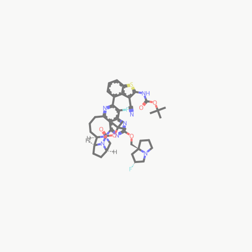 CC(C)(C)OC(=O)Nc1sc2cccc(-c3nc4c5c(nc(OC[C@@]67CCCN6C[C@H](F)C7)nc5c3F)N3C[C@H]5CC[C@@H]([C@H]3CCC4)N5C(=O)OC(C)(C)C)c2c1C#N